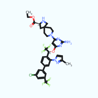 CCOC(=O)[C@@H]1CC2(CCN(c3cc(O[C@H](c4ccc(-c5cc(Cl)cc(C(F)(F)F)c5)cc4-n4ccc(C)n4)C(F)(F)F)nc(N)n3)CC2)CN1